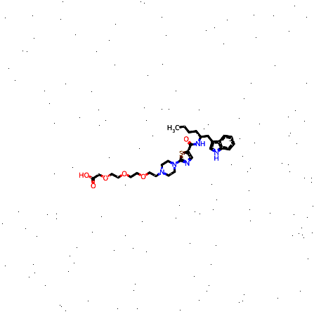 CCCCC(Cc1c[nH]c2ccccc12)NC(=O)c1cnc(N2CCN(CCOCCOCCOCC(=O)O)CC2)s1